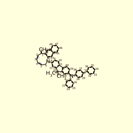 C=C1/C=C\C=C/CN(c2ccc3c(c2)C(C)(C)c2cc(N(c4ccccc4)c4ccc(-c5ccccc5)cc4)ccc2-3)c2cc3ccccc3cc21